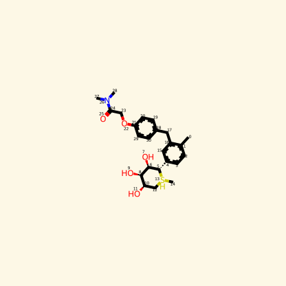 Cc1ccc([C@H]2[C@H](O)[C@H](O)[C@H](O)C[SH]2C)cc1Cc1ccc(OCC(=O)N(C)C)cc1